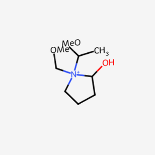 COC[N+]1(C(C)OC)CCCC1O